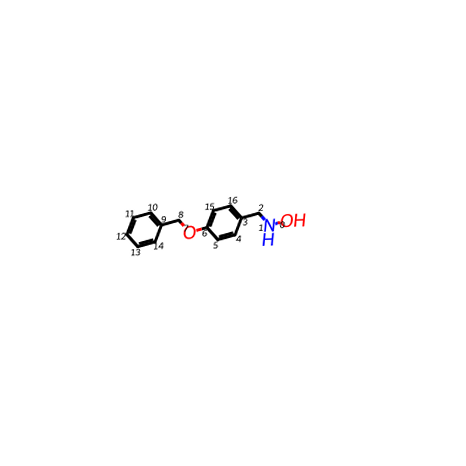 ONCc1ccc(OCc2ccccc2)cc1